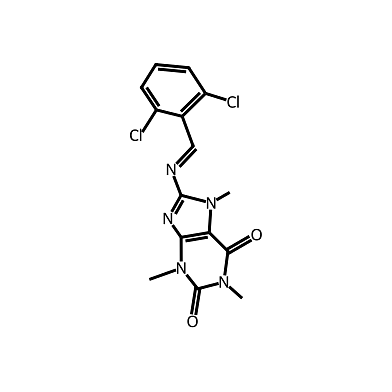 Cn1c(=O)c2c(nc(N=Cc3c(Cl)cccc3Cl)n2C)n(C)c1=O